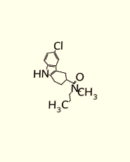 CCCN(C)C(=O)C1CCc2[nH]c3ccc(Cl)cc3c2C1